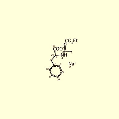 CCOC(=O)C=C(C)N[C@@H](Cc1ccccc1)C(=O)[O-].[Na+]